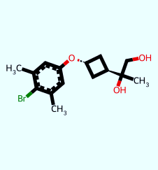 Cc1cc(O[C@H]2C[C@H](C(C)(O)CO)C2)cc(C)c1Br